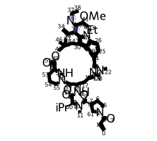 C=CC(=O)N1CC[C@H](C(=O)N(C)[C@H](C(=O)N[C@H]2Cc3nc(n(C)n3)-c3ccc4c(c3)c(c(/C(C=C)=C(/N=C\C)[C@H](C)OC)n4CC)CC(C)(C)COC(=O)[C@@H]3CCCN(N3)C2=O)C(C)C)C1